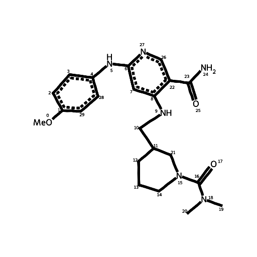 COc1ccc(Nc2cc(NCC3CCCN(C(=O)N(C)C)C3)c(C(N)=O)cn2)cc1